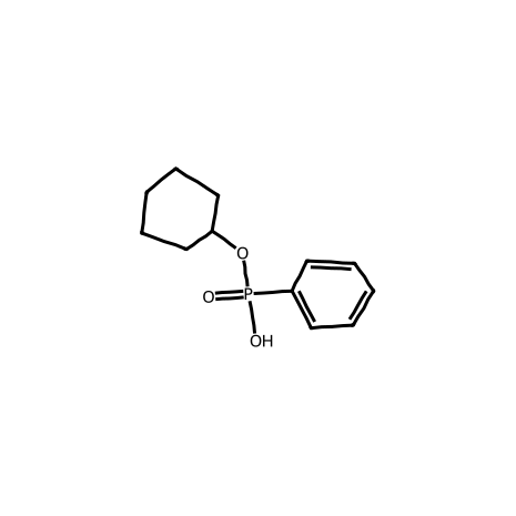 O=P(O)(OC1CCCCC1)c1ccccc1